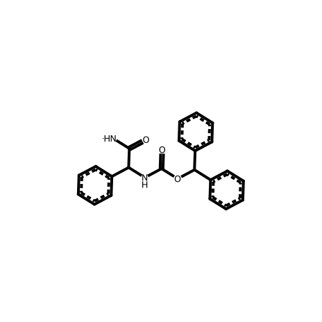 [NH]C(=O)C(NC(=O)OC(c1ccccc1)c1ccccc1)c1ccccc1